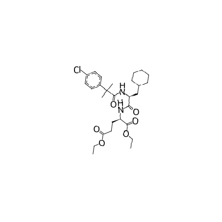 CCOC(=O)CC[C@@H](NC(=O)[C@H](CC1CCCCC1)NC(=O)C(C)(C)c1ccc(Cl)cc1)C(=O)OCC